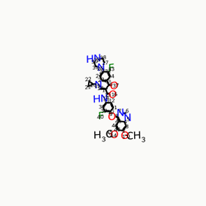 COc1cc2ncnc(Oc3ccc(NC(=O)c4cn(C5CC5)c5cc(N6CCNCC6)c(F)cc5c4=O)cc3F)c2cc1OC